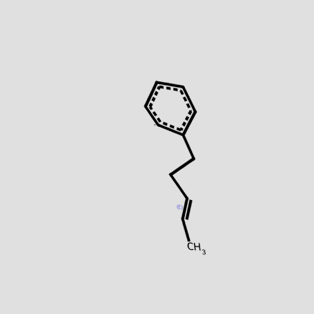 C/C=C/CCc1[c]cccc1